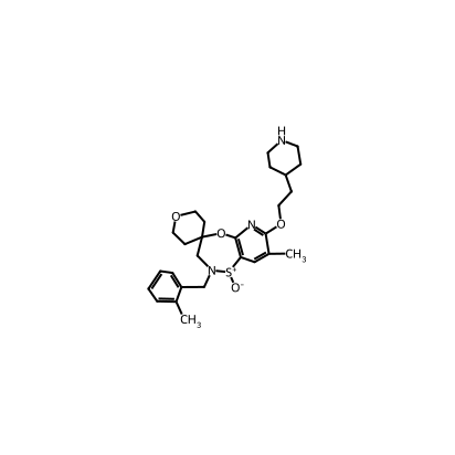 Cc1ccccc1CN1CC2(CCOCC2)Oc2nc(OCCC3CCNCC3)c(C)cc2[S+]1[O-]